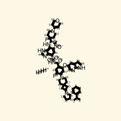 CC(C)c1ccccc1[C@@H]1CCCN1C1CC2(CCN(c3cc(Oc4cnc5[nH]ccc5c4)c(C(=O)NS(=O)(=O)c4cc([N+](=O)[O-])c(NCC5(F)CCN(C6=CCOC=C6)CC5)c5[nH]cnc45)cc3F)CC2)C1.[H+].[H+].[H+].[H+]